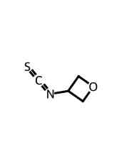 S=C=NC1COC1